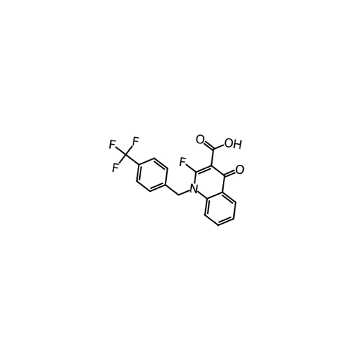 O=C(O)c1c(F)n(Cc2ccc(C(F)(F)F)cc2)c2ccccc2c1=O